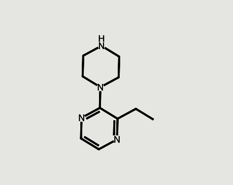 CCc1nccnc1N1CCNCC1